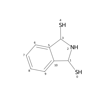 SC1NC(S)c2ccccc21